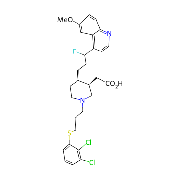 COc1ccc2nccc(C(F)CC[C@@H]3CCN(CCCSc4cccc(Cl)c4Cl)C[C@@H]3CC(=O)O)c2c1